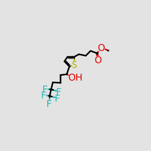 COC(=O)CCCc1ccc(C(O)CCCC(F)(F)C(F)(F)F)s1